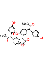 COC(=O)C(c1ccc(O)cc1)c1ccc(O)c(C(C(=O)OC)c2cc(C(C(=O)OC)c3ccc(O)cc3)ccc2O)c1